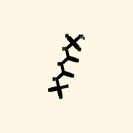 O=C(NC(=O)NS(=O)(=O)C(F)(F)F)NS(=O)(=O)I